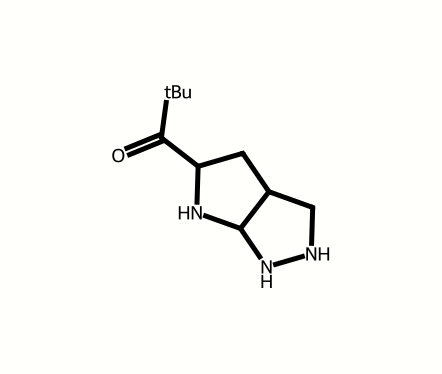 CC(C)(C)C(=O)C1CC2CNNC2N1